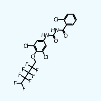 O=C(NC(=O)c1ccccc1Cl)Nc1cc(Cl)c(OCC(F)(F)C(F)(F)C(F)(F)C(F)F)c(Cl)c1